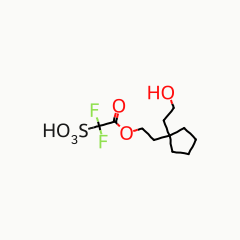 O=C(OCCC1(CCO)CCCC1)C(F)(F)S(=O)(=O)O